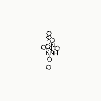 c1ccc(C2=NC(c3ccccc3-n3c4ccccc4c4c5sc6ccccc6c5ccc43)NC(c3ccc(-c4ccccc4)cc3)=N2)cc1